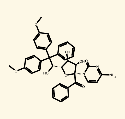 COc1ccc(C(c2ccccc2)(c2ccc(OC)cc2)C(O)[C@H]2O[C@@](C(=O)c3ccccc3)(n3ccc(N)nc3=O)[C@H](O)[C@@H]2O)cc1